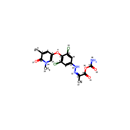 CC(C)c1cc(Oc2c(Cl)cc(NN=C(C#N)C(=O)OC(N)=O)cc2Cl)cn(C)c1=O